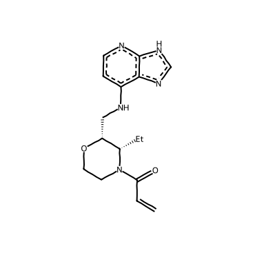 C=CC(=O)N1CCO[C@H](CNc2ccnc3[nH]cnc23)[C@@H]1CC